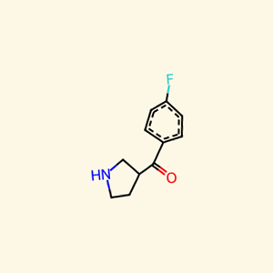 O=C(c1ccc(F)cc1)C1CCNC1